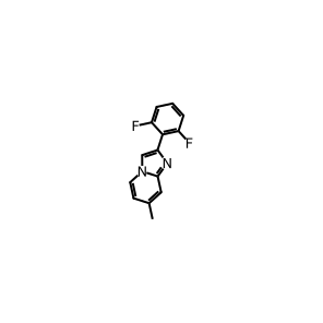 Cc1ccn2cc(-c3c(F)cccc3F)nc2c1